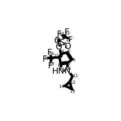 O=S(=O)(Oc1ccc2c([nH]n2CC2CC2)c1C(F)(F)F)C(F)(F)F